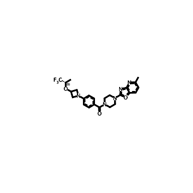 Cc1ccc2oc(N3CCN(C(=O)c4ccc(N5CC(O[C@@H](C)C(F)(F)F)C5)cc4)CC3)nc2n1